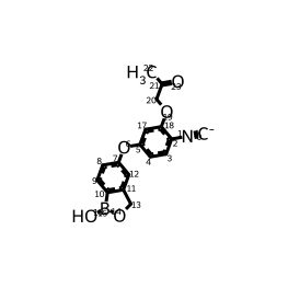 [C-]#[N+]c1ccc(Oc2ccc3c(c2)COB3O)cc1OCC(C)=O